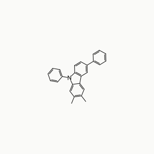 Cc1cc2c3cc(-c4ccccc4)ccc3n(-c3ccccc3)c2cc1C